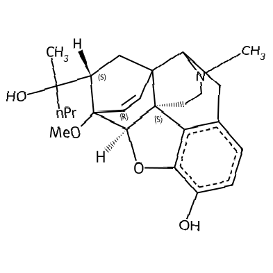 CCCC(C)(O)[C@@H]1CC23C=CC1(OC)[C@@H]1Oc4c(O)ccc5c4[C@@]12CCN(C)C3C5